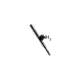 CCCCCCCCCCCCCCCCCCC(CCCCCCCCCCCCCCCCCC)OS(=O)(=O)OCC.N